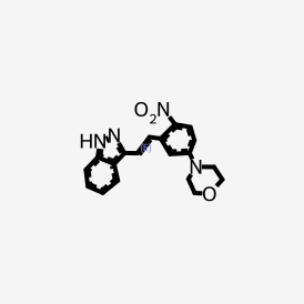 O=[N+]([O-])c1ccc(N2CCOCC2)cc1/C=C/c1n[nH]c2ccccc12